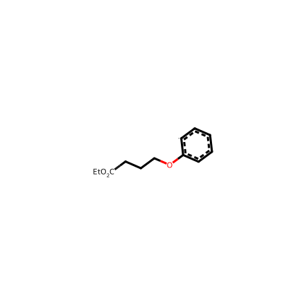 CCOC(=O)CCCOc1[c]cccc1